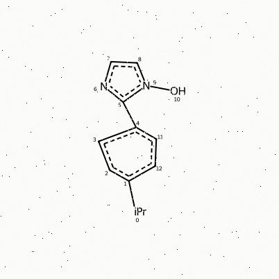 CC(C)c1ccc(-c2nccn2O)cc1